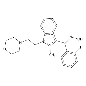 Cc1c(C(=NO)c2ccccc2F)c2ccccc2n1CCN1CCOCC1